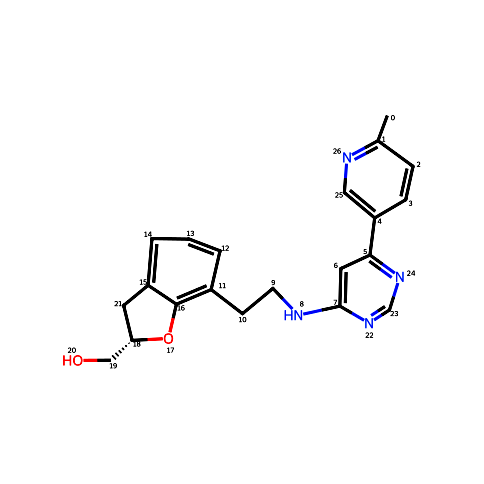 Cc1ccc(-c2cc(NCCc3cccc4c3O[C@H](CO)C4)ncn2)cn1